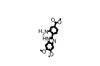 COC(=O)c1ccc(-c2nc3cc(OC)c(OC)cc3[nH]2)c(N)c1